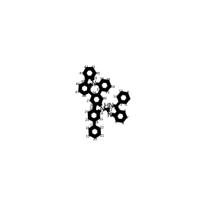 c1ccc(C2=c3ccccc3=NC(n3c4cc(-c5ccccc5)ccc4c4cc5c(cc43)-c3ccccc3-n3c4ccccc4c4cccc-5c43)N2)cc1